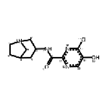 O=C(NC1CC2CCN(C2)C1)c1ncc(O)c(Cl)n1